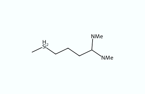 CNC(CCC[SiH2]C)NC